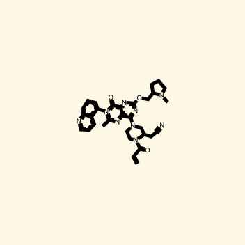 C=CC(=O)N1CCN(c2nc(OCC3CCCN3C)nc3c(=O)n(-c4cccc5ncccc45)c(C)nc23)CC1CC#N